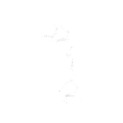 Clc1ccc(CNCCOc2ccc(Cl)c(Cl)c2)cc1Cl